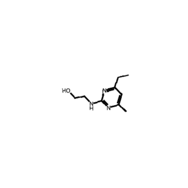 CCc1cc(C)nc(NCCO)n1